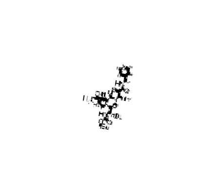 CCCC(NC(=O)[C@@H]1[C@@H]2[C@H](CN1C(=O)[C@@H](NC(=O)OC(C)(C)C)C(C)(C)C)C2(C)C)C(=O)C(=O)NCc1ccncc1